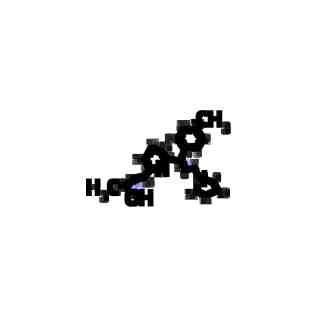 Cc1ccc(/C(=C\CN2CCCC2)c2cccc(/C=C/C(C)O)n2)cc1